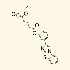 CCOC(=C=O)CCCC(=O)Oc1cccc(-c2cn3c(n2)sc2ccccc23)c1